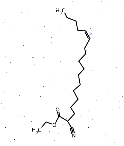 CCCC/C=C\CCCCCCCCCCC(C#N)C(=O)OCC